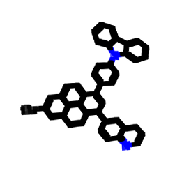 CC(C)(C)c1cc2ccc3c(-c4ccc(-n5c6ccccc6c6ccccc65)cc4)cc(-c4ccc5ncccc5c4)c4ccc(c1)c2c34